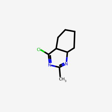 CC1=NC2CCCCC2C(Cl)=N1